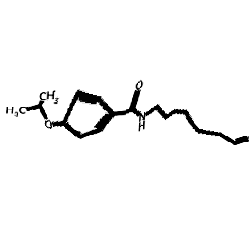 CC(C)Oc1ccc(C(=O)NCCCCCC=O)cc1